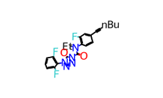 CCCCC#Cc1ccc(N(CC)C(=O)n2nnn(-c3c(F)cccc3F)c2=O)c(F)c1